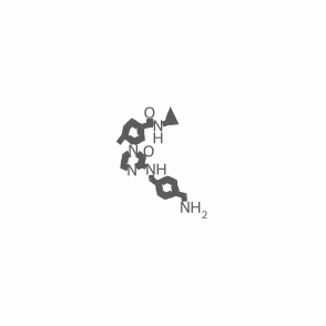 Cc1ccc(C(=O)NC2CC2)cc1-n1ccnc(NCc2ccc(CN)cc2)c1=O